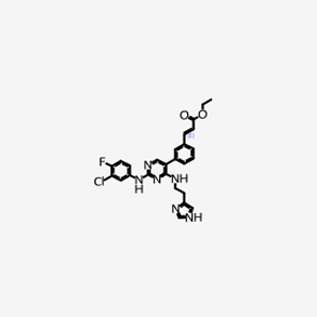 CCOC(=O)/C=C/c1cccc(-c2cnc(Nc3ccc(F)c(Cl)c3)nc2NCCc2c[nH]cn2)c1